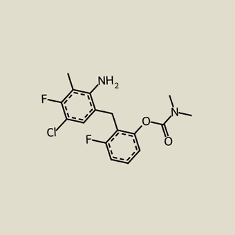 Cc1c(N)c(Cc2c(F)cccc2OC(=O)N(C)C)cc(Cl)c1F